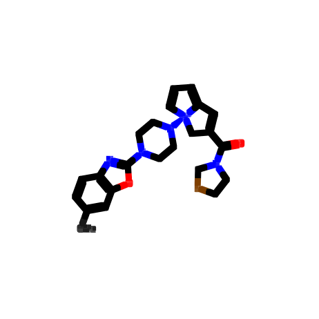 COc1ccc2nc(N3CCN([N@@+]45C=CC=C4C=C(C(=O)N4CCSC4)C5)CC3)oc2c1